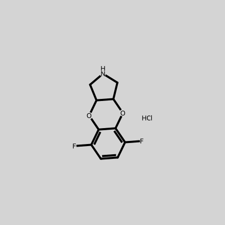 Cl.Fc1ccc(F)c2c1OC1CNCC1O2